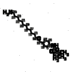 CC(C)(C)OC(=O)Nc1ccc(COCCCCCCCCCCCCN)cc1